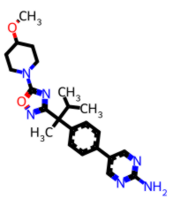 COC1CCN(c2nc(C(C)(c3ccc(-c4cnc(N)nc4)cc3)C(C)C)no2)CC1